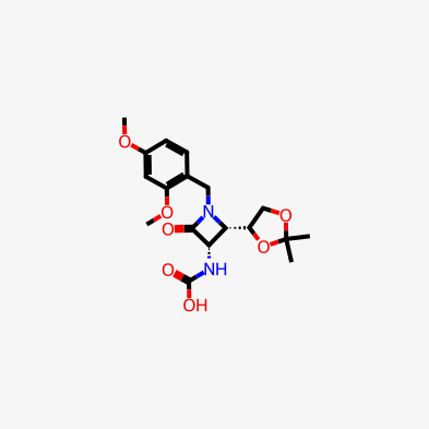 COc1ccc(CN2C(=O)[C@@H](NC(=O)O)[C@H]2C2COC(C)(C)O2)c(OC)c1